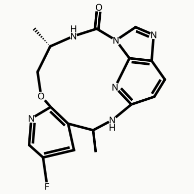 CC1Nc2ccc3ncn(c3n2)C(=O)N[C@@H](C)COc2ncc(F)cc21